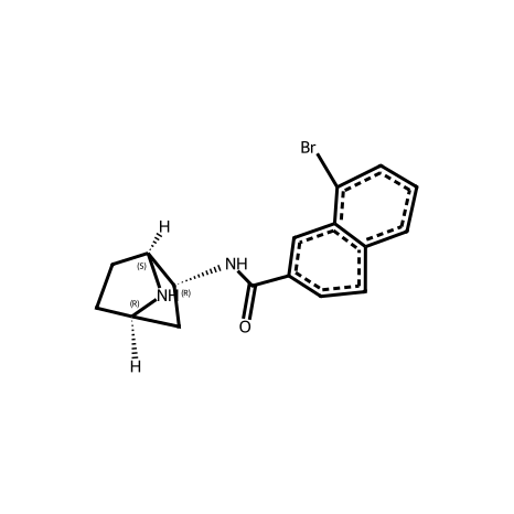 O=C(N[C@@H]1C[C@H]2CC[C@@H]1N2)c1ccc2cccc(Br)c2c1